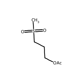 CC(=O)OCCCS(C)(=O)=O